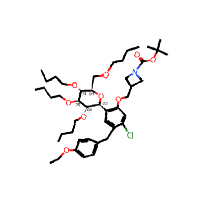 CCCCOC[C@H]1O[C@@H](c2cc(Cc3ccc(OCC)cc3)c(Cl)cc2OCC2CN(C(=O)OC(C)(C)C)C2)[C@H](OCCCC)[C@@H](OCCCC)[C@@H]1OCCCC